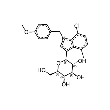 COc1ccc(Cn2cc([C@@H]3O[C@H](CO)[C@@H](O)[C@H](O)[C@H]3O)c3c(C)ccc(Cl)c32)cc1